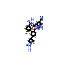 CNc1ccc(-c2ccc(CNc3ncc(C#N)cc3C(=O)NC(C)c3ccc(F)cc3)cc2)cn1